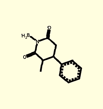 BN1C(=O)CC(c2ccccc2)C(C)C1=O